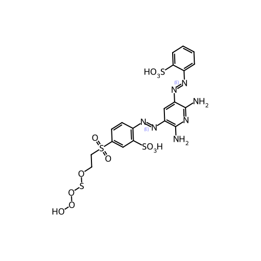 Nc1nc(N)c(/N=N/c2ccc(S(=O)(=O)CCOSOOO)cc2S(=O)(=O)O)cc1/N=N/c1ccccc1S(=O)(=O)O